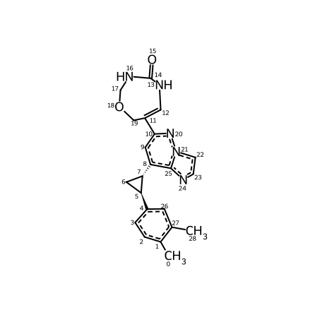 Cc1ccc([C@H]2C[C@@H]2c2cc(/C3=C/NC(=O)NCOC3)nn3ccnc23)cc1C